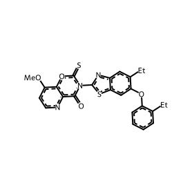 CCc1ccccc1Oc1cc2sc(-n3c(=S)oc4c(OC)ccnc4c3=O)nc2cc1CC